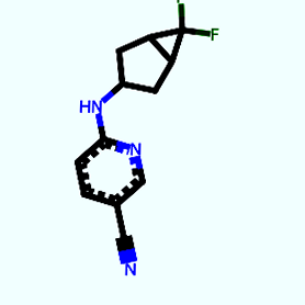 N#Cc1ccc(NC2CC3C(C2)C3(F)F)nc1